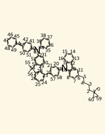 CC1(CCCCc2ccc3c(c2)c2ccccc2n3-c2ccc(-c3cccc4c3-c3ccc(N(c5ccccc5)c5ccc(-c6ccccc6)cc5)cc3C4(C)C)cc2)CC1